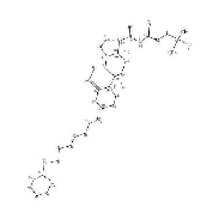 C[C@@H](NC(=O)OCC(Cl)(Cl)Cl)[C@H]1CCC2C3CC=C4C[C@@H](OCCCCCCOC5CCCCO5)CC[C@]4(C)C3CC[C@@]21C